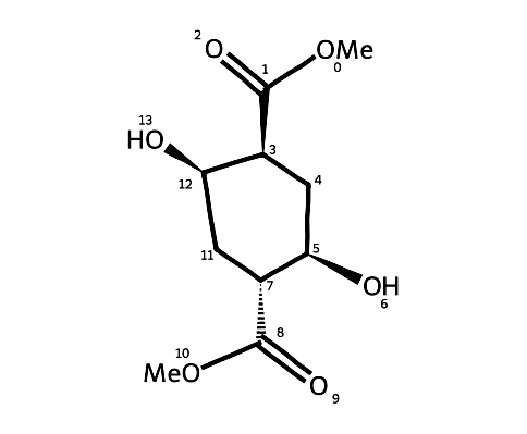 COC(=O)[C@H]1C[C@@H](O)[C@H](C(=O)OC)C[C@H]1O